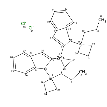 CCC[Si]1(C2[C]([Zr+2]3([C]4=Cc5ccccc5C4[Si]4(CCC)CCC4)[CH2][CH2]3)=Cc3ccccc32)CCC1.[Cl-].[Cl-]